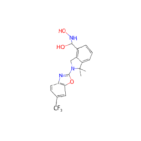 CC1(C)c2cccc(C(O)NO)c2CN1c1nc2ccc(C(F)(F)F)cc2o1